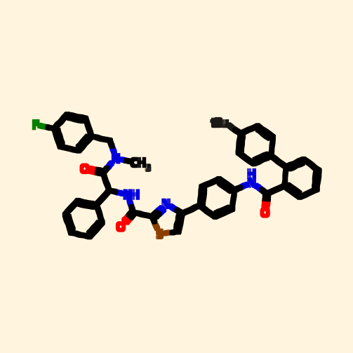 CN(Cc1ccc(F)cc1)C(=O)C(NC(=O)c1nc(-c2ccc(NC(=O)c3ccccc3-c3ccc(C(C)(C)C)cc3)cc2)cs1)c1ccccc1